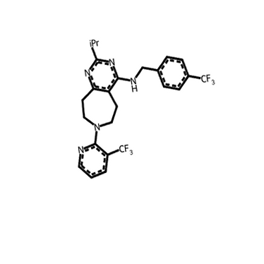 CC(C)c1nc2c(c(NCc3ccc(C(F)(F)F)cc3)n1)CCN(c1ncccc1C(F)(F)F)CC2